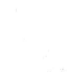 COC(=O)C1CC[C@H]2[C@@H]3CC=C4CC(OCCCCCCI)CC[C@]4(C)[C@@H]3CC[C@]12C